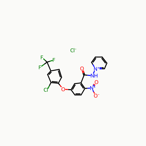 O=C(N[n+]1ccccc1)c1cc(Oc2ccc(C(F)(F)F)cc2Cl)ccc1[N+](=O)[O-].[Cl-]